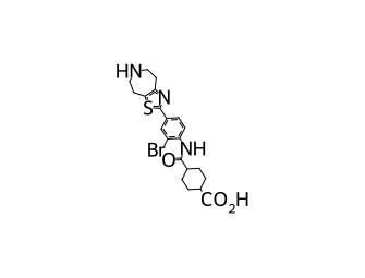 O=C(O)C1CCC(C(=O)Nc2ccc(-c3nc4c(s3)CCNCC4)cc2Br)CC1